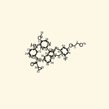 COCCOc1cc(F)c(Cn2nc(-c3ncc(OC)c(Nc4ccnc(NC(=O)C5CC5)c4)n3)c3ccccc32)c(F)c1